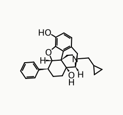 Oc1ccc2c3c1O[C@H]1[C@H](c4ccccc4)CC[C@@]4(O)[C@@H](C2)N(CC2CC2)CC[C@]314